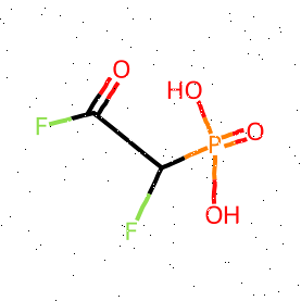 O=C(F)C(F)P(=O)(O)O